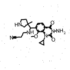 COc1c(C(NCCC#N)C2(C)CCNC2)ccc2c(=O)n(N)c(=O)n(C3CC3)c12